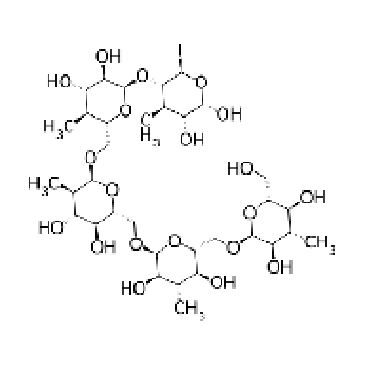 C[C@@H]1[C@@H](O)[C@@H](OC[C@H]2O[C@H](OC[C@H]3O[C@H](OC[C@H]4O[C@H](O[C@H]5[C@H](C)[C@@H](O)[C@@H](O)O[C@@H]5I)[C@H](O)[C@@H](O)[C@@H]4C)[C@H](C)[C@@H](O)[C@@H]3O)[C@H](O)[C@@H](C)[C@@H]2O)O[C@H](CO)[C@H]1O